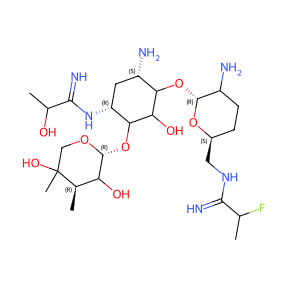 CC(O)C(=N)N[C@@H]1C[C@H](N)C(O[C@H]2O[C@H](CNC(=N)C(C)F)CCC2N)C(O)C1O[C@H]1OCC(C)(O)[C@H](C)C1O